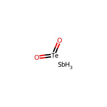 O=[Te]=O.[SbH3]